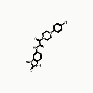 Cn1c(=O)[nH]c2ccc(NC(=O)C(=O)N3CCN(c4ccc(Cl)cc4)CC3)cc21